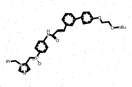 CCCCOCCOc1ccc(-c2cccc(/C=C/C(=O)Nc3ccc([S@+]([O-])Cc4cncn4CC(C)C)cc3)c2)cc1